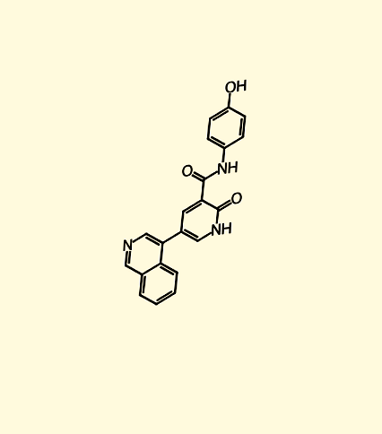 O=C(Nc1ccc(O)cc1)c1cc(-c2cncc3ccccc23)c[nH]c1=O